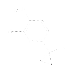 COc1ccc(C2(C#N)CC2)cc1Cl